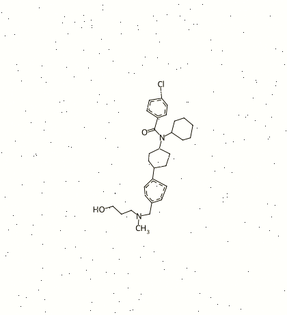 CN(CCCO)Cc1ccc(C2CCC(N(C(=O)c3ccc(Cl)cc3)C3CCCCC3)CC2)cc1